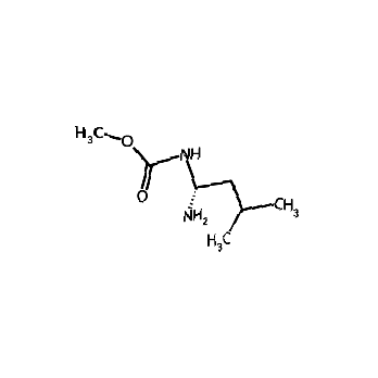 COC(=O)N[C@@H](N)CC(C)C